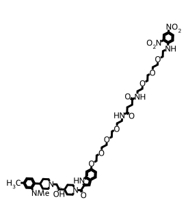 CNc1cc(C)ccc1C1CCN(C[C@@H](O)C2CCN(C(=O)c3cc4ccc(OCCOCCOCCOCCNC(=O)CCC(=O)NCCOCCOCCOCCNc5ccc([N+](=O)[O-])cc5[N+](=O)[O-])cc4[nH]3)CC2)CC1